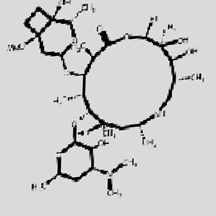 CC[C@@H]1OC(=O)[C@H](C)[C@H](O[C@H]2C[C@]3(OC)CC[C@]3(O)[C@H](C)O2)[C@@H](C)[C@@H](O[C@@H]2O[C@H](C)C[C@H](N(C)C)[C@H]2O)[C@@](C)(O)C[C@@H](C)NC[C@@H](C)[C@H](O)[C@]1(C)O